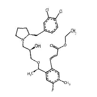 CCOC(=O)/C=C/c1cc(C)c(F)cc1[C@@H](C)OC[C@H](O)CN1CCC[C@H]1Cc1ccc(Cl)c(Cl)c1